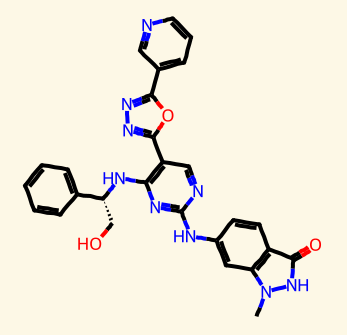 Cn1[nH]c(=O)c2ccc(Nc3ncc(-c4nnc(-c5cccnc5)o4)c(N[C@H](CO)c4ccccc4)n3)cc21